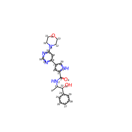 CC(NC(=O)c1cc(-c2cc(N3CCOCC3)ncn2)c[nH]1)C(O)c1ccccc1